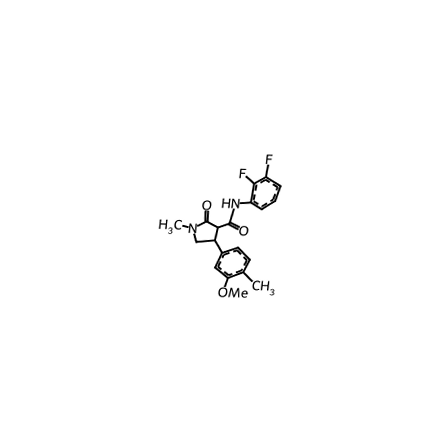 COc1cc(C2CN(C)C(=O)C2C(=O)Nc2cccc(F)c2F)ccc1C